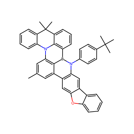 Cc1cc2c3c(c1)N1c4ccccc4C(C)(C)c4cccc(c41)B3N(c1ccc(C(C)(C)C)cc1)c1cc3c(cc1-2)oc1ccccc13